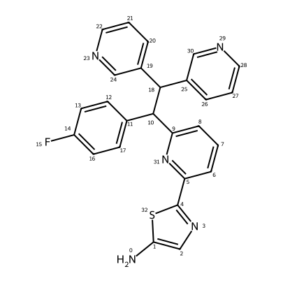 Nc1cnc(-c2cccc(C(c3ccc(F)cc3)C(c3cccnc3)c3cccnc3)n2)s1